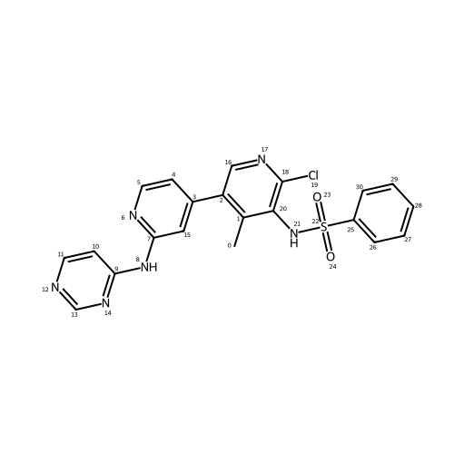 Cc1c(-c2ccnc(Nc3ccncn3)c2)cnc(Cl)c1NS(=O)(=O)c1ccccc1